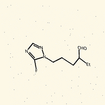 CCC(C=O)CCCn1ncnc1F